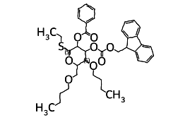 CCCCOCC1O[C@@H](SCC)C(OC(=O)c2ccccc2)C(OC(=O)OCC2c3ccccc3-c3ccccc32)[C@H]1OCCCC